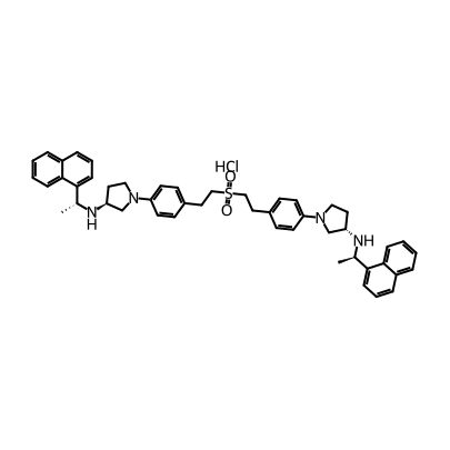 C[C@@H](N[C@H]1CCN(c2ccc(CCS(=O)(=O)CCc3ccc(N4CC[C@H](N[C@H](C)c5cccc6ccccc56)C4)cc3)cc2)C1)c1cccc2ccccc12.Cl